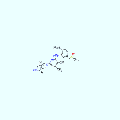 CSc1ccc(C[S+](C)[O-])cc1Nc1nc(N2C[C@H]3CNC[C@H]3C2)cc(C(F)(F)F)c1C#N